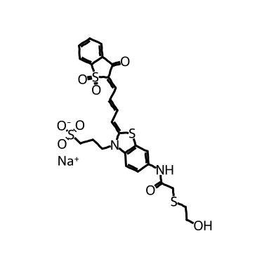 O=C(CSCCO)Nc1ccc2c(c1)S\C(=C/C=C/C=C1/C(=O)c3ccccc3S1(=O)=O)N2CCCS(=O)(=O)[O-].[Na+]